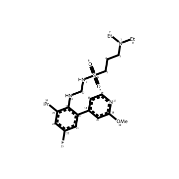 CCN(CC)CCCS(=O)(=O)NCNc1c(-c2ccnc(OC)c2)cc(F)cc1C(C)C